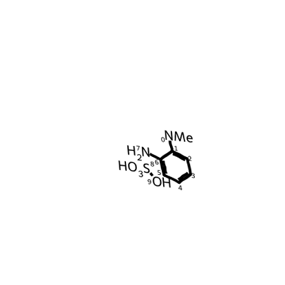 CNc1ccccc1N.O=S(=O)(O)O